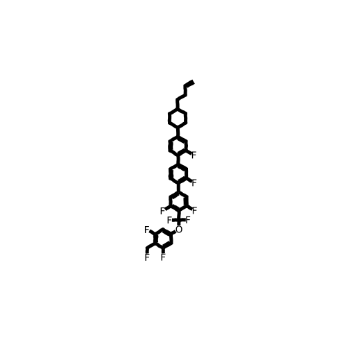 C=CCCC1CCC(c2ccc(-c3ccc(-c4cc(F)c(C(F)(F)Oc5cc(F)c(CF)c(F)c5)c(F)c4)c(F)c3)c(F)c2)CC1